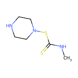 CNC(=S)SN1CCNCC1